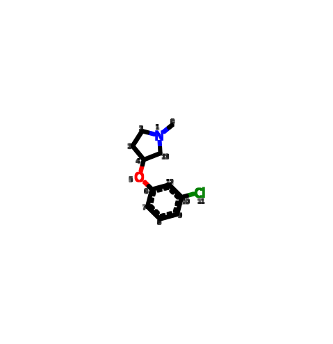 CN1CCC(Oc2cccc(Cl)c2)C1